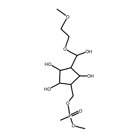 COCCOC(O)C1C(O)C(O)C(COP(C)(=O)OC)C1O